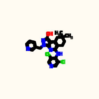 CC1(C)CCc2c(Nc3c(Cl)cncc3Cl)nc3c(c(O)nn3Cc3cccnc3)c2C1